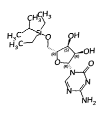 CC[Si](CC)(OC[C@H]1O[C@@H](n2cnc(N)nc2=O)[C@H](O)[C@@H]1O)C(C)C